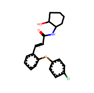 O=C(/C=C/c1ccccc1Sc1ccc(Cl)cc1)NC1CCCCC1O